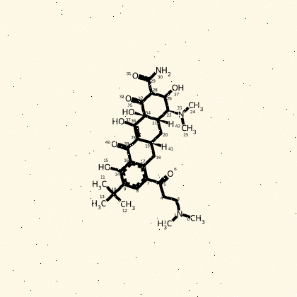 CN(C)CCC(=O)c1cc(C(C)(C)C)c(O)c2c1C[C@H]1C[C@H]3[C@H](N(C)C)C(O)C(C(N)=O)C(=O)[C@@]3(O)C(O)=C1C2=O